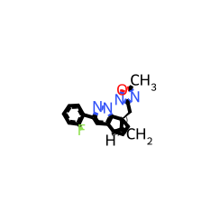 C=C1[C@@H]2CC[C@@]1(Cc1noc(C)n1)c1nnc(-c3ccccc3F)cc12